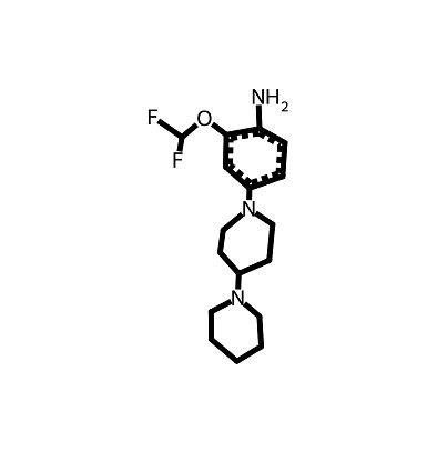 Nc1ccc(N2CCC(N3CCCCC3)CC2)cc1OC(F)F